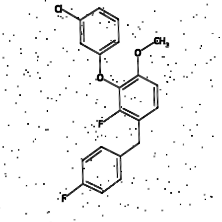 COc1ccc(Cc2ccc(F)cc2)c(F)c1Oc1cccc(Cl)c1